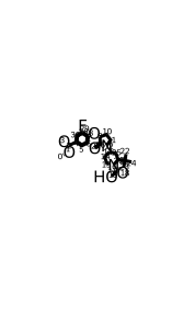 COC(=O)c1ccc(OC2CCN(C3CCN(C(=O)O)C(C(C)(C)C)C3)C2=O)c(F)c1